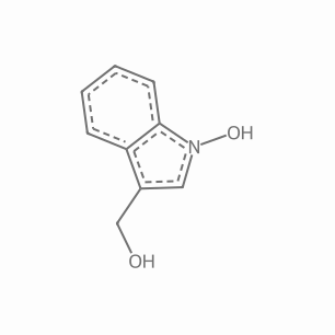 OCc1cn(O)c2ccccc12